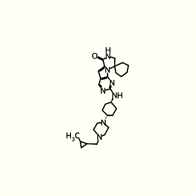 CC1CC1CN1CCN([C@H]2CC[C@H](Nc3ncc4cc5n(c4n3)C3(CCCCC3)CNC5=O)CC2)CC1